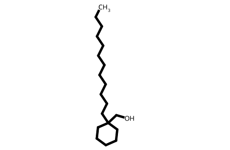 CCCCCCCCCCCCC1(CO)CCCCC1